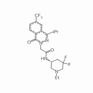 CCN1C[C@@H](NC(=O)Cn2nc(C(C)C)c3cc(C(F)(F)F)ccc3c2=O)CC(F)(F)C1